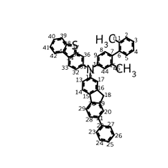 Cc1ccccc1-c1ccc(N(c2ccc3c(c2)Cc2cc(-c4ccccc4)ccc2-3)c2ccc3c(c2)sc2ccccc23)cc1C